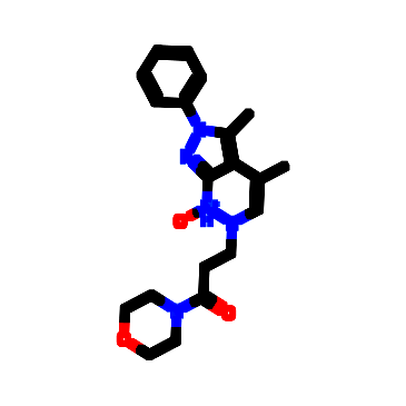 CC1=CN(CCC(=O)N2CCOCC2)[NH+]([O-])c2nn(-c3ccccc3)c(C)c21